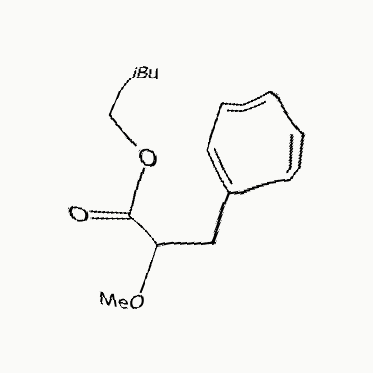 CCC(C)COC(=O)C(Cc1ccccc1)OC